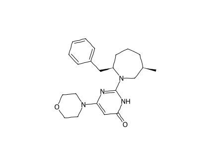 C[C@@H]1CCC[C@H](Cc2ccccc2)N(c2nc(N3CCOCC3)cc(=O)[nH]2)C1